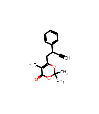 C#CC(CC1=C(C)C(=O)OC(C)(C)O1)c1ccccc1